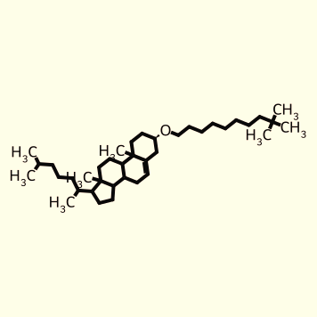 CC(C)CCCC(C)C1CCC2C3CC=C4C[C@@H](OCCCCCCCCC(C)(C)C)CCC4(C)C3CCC12C